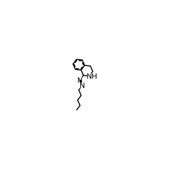 CCCCCN=NC1NCCc2ccccc21